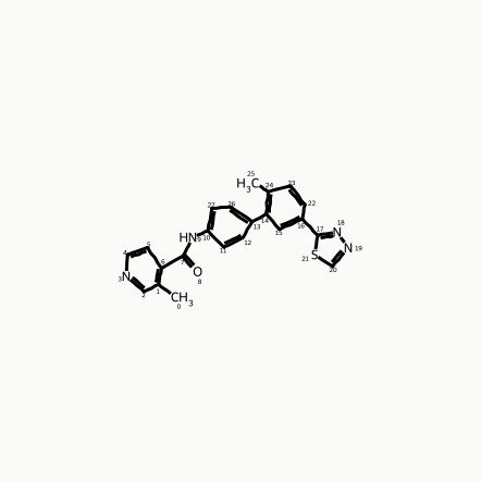 Cc1cnccc1C(=O)Nc1ccc(-c2cc(-c3nncs3)ccc2C)cc1